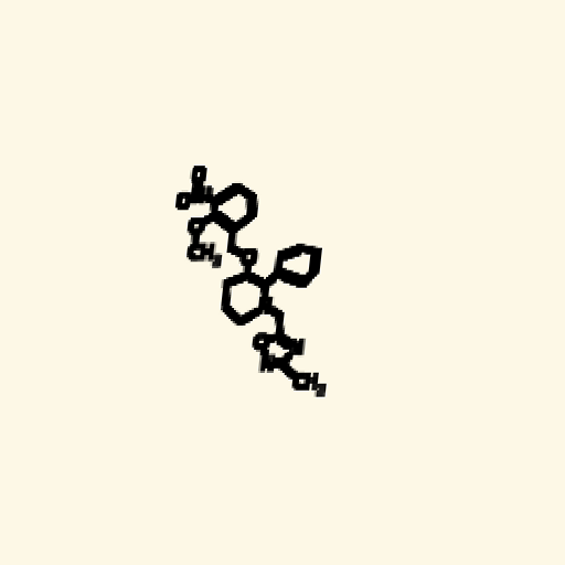 COc1c(COC2CCCN(Cc3nc(C)no3)C2c2ccccc2)cccc1[N+](=O)[O-]